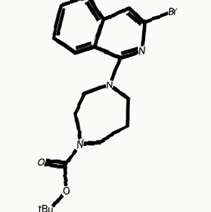 CC(C)(C)OC(=O)N1CCCN(c2nc(Br)cc3ccccc23)CC1